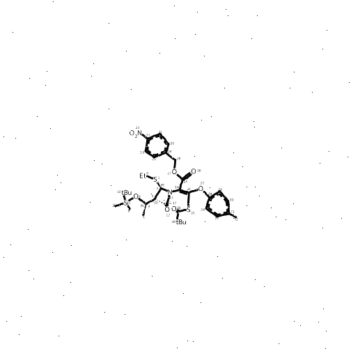 CCS[C@@H]1[C@@H]([C@@H](C)O[Si](C)(C)C(C)(C)C)C(=O)N1C(C(=O)OCc1ccc([N+](=O)[O-])cc1)=C(Oc1ccc(C)cc1)SC(=O)C(C)(C)C